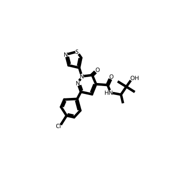 CC(NC(=O)c1cc(-c2ccc(Cl)cc2)nn(-c2cnsc2)c1=O)C(C)(C)O